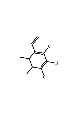 C=CC1=C(Cl)C(Cl)=C(Cl)C(C)C1C